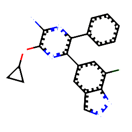 Nc1nc(-c2ccccc2)c(-c2cc(Cl)c3[nH]ncc3c2)nc1OC1CC1